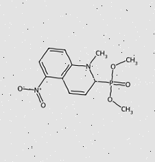 COP(=O)(OC)C1C=Cc2c(cccc2[N+](=O)[O-])N1C